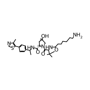 Cc1ncsc1-c1ccc(C(C)NC(=O)[C@@H]2C[C@@H](O)CN2C(=O)C(NC(=O)CCCCCCN)C(C)(C)C)cc1